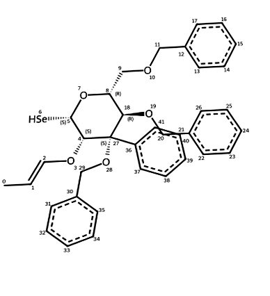 CC=CO[C@@H]1[C@H]([SeH])O[C@H](COCc2ccccc2)[C@@H](OCc2ccccc2)[C@@]1(OCc1ccccc1)c1ccccc1